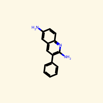 Nc1ccc2nc(N)c(-c3ccccc3)cc2c1